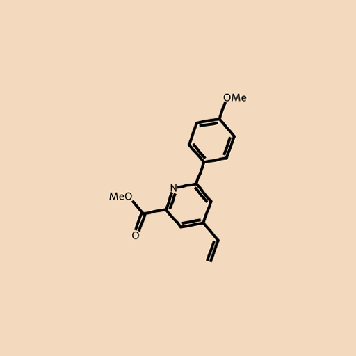 C=Cc1cc(C(=O)OC)nc(-c2ccc(OC)cc2)c1